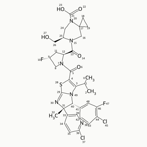 CC(C)C1=C(C(=O)N2C[C@H](F)C[C@H]2C(=O)N2CC3(CC3)N(C(=O)O)C[C@@H]2CO)SC2=N[C@@](C)(c3ccc(Cl)nc3)[C@@H](c3ccc(Cl)c(F)c3)N21